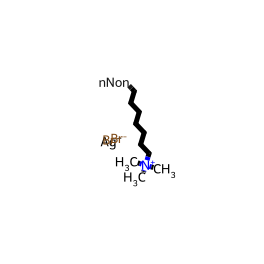 CCCCCCCCCCCCCCCC[N+](C)(C)C.[Ag+].[Br-].[Br-]